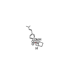 CC(C)/C=C/c1ccc(O[C@@H]2C[C@H]3CC[C@@H](C2)N3C(=O)O)cc1